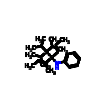 C/C=C(\C)[Si](CCC)(Nc1ccccc1)[Si](C(C)C)(C(C)C)C(C)C